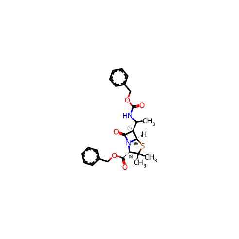 CC(NC(=O)OCc1ccccc1)[C@@H]1C(=O)N2[C@@H]1SC(C)(C)[C@@H]2C(=O)OCc1ccccc1